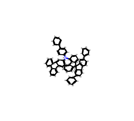 c1ccc(-c2ccc(N(c3ccc4c5ccccc5c5ccccc5c4c3)c3cccc4c3-c3ccccc3C43c4cc(-c5ccccc5)ccc4-c4ccc(-c5ccccc5)cc43)cc2)cc1